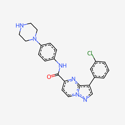 O=C(Nc1ccc(N2CCNCC2)cc1)c1ccn2ncc(-c3cccc(Cl)c3)c2n1